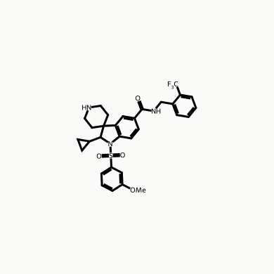 COc1cccc(S(=O)(=O)N2c3ccc(C(=O)NCc4ccccc4C(F)(F)F)cc3C3(CCNCC3)C2C2CC2)c1